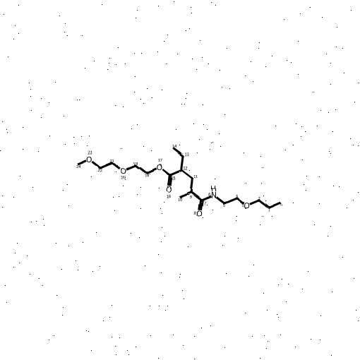 CCCOCCNC(=O)C(C)CC(CC)C(=O)OCCOCCOC